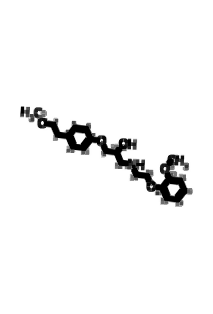 COCCc1ccc(OCC(O)CNCCOc2ccccc2OC)cc1